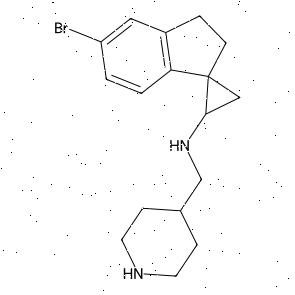 Brc1ccc2c(c1)CCC21CC1NCC1CCNCC1